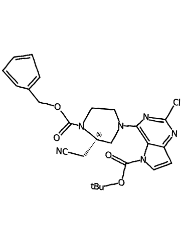 CC(C)(C)OC(=O)n1ccc2nc(Cl)nc(N3CCN(C(=O)OCc4ccccc4)[C@@H](CC#N)C3)c21